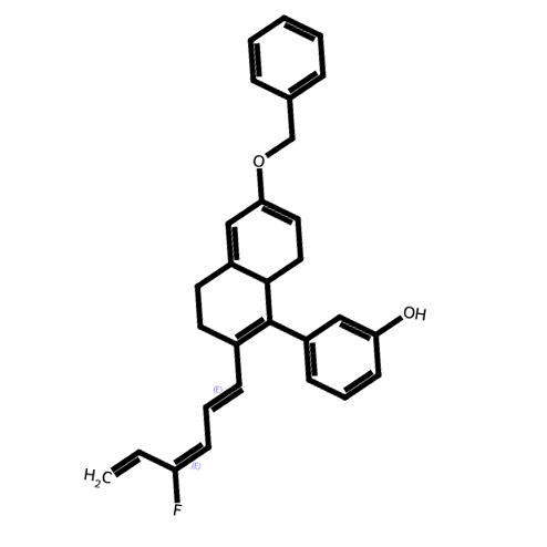 C=C/C(F)=C\C=C\C1=C(c2cccc(O)c2)C2CC=C(OCc3ccccc3)C=C2CC1